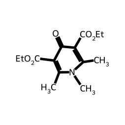 CCOC(=O)c1c(C)n(C)c(C)c(C(=O)OCC)c1=O